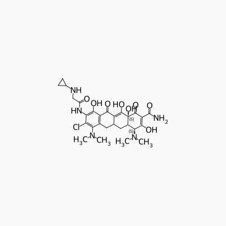 CN(C)c1c(Cl)c(NC(=O)CNC2CC2)c(O)c2c1CC1CC3[C@H](N(C)C)C(O)=C(C(N)=O)C(=O)[C@@]3(O)C(O)=C1C2=O